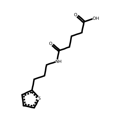 O=C(O)CCCC(=O)NCCCc1cccs1